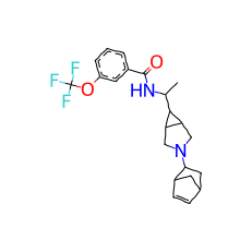 CC(NC(=O)c1cccc(OC(F)(F)F)c1)C1C2CN(C3CC4C=CC3C4)CC21